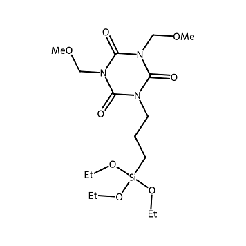 CCO[Si](CCCn1c(=O)n(COC)c(=O)n(COC)c1=O)(OCC)OCC